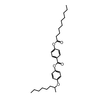 CCCCCCCCCC(=O)Oc1ccc(C(=O)Oc2ccc(OC(C)CCCCCC)cc2)cc1